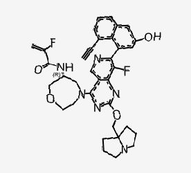 C#Cc1cccc2cc(O)cc(-c3ncc4c(N5CCOC[C@H](NC(=O)C(=C)F)C5)nc(OCC56CCCN5CCC6)nc4c3F)c12